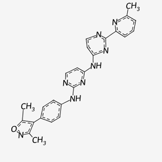 Cc1cccc(-c2nccc(Nc3ccnc(Nc4ccc(-c5c(C)noc5C)cc4)n3)n2)n1